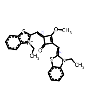 CCN1/C(=C/C2=C(OC)C(=C/c3sc4ccccc4[n+]3CC)/C2=O)Sc2ccccc21